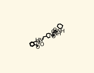 O=C(NC1CCCCC1)NS(=O)(=O)N1CCC(CCNC(=O)N2Cc3ccccc3C2=O)CC1